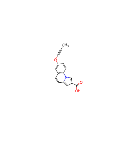 CC#COc1ccc2c(ccc3cc(C(=O)O)cn32)c1